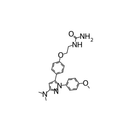 COc1ccc(-n2nc(N(C)C)cc2-c2ccc(OCCNC(N)=O)cc2)cc1